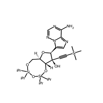 CC(C)[Si]1(C(C)C)OC[C@H]2O[C@@H](c3cnc4c(N)ncnn34)[C@](O)(C#C[Si](C)(C)C)[C@@H]2O[Si](C(C)C)(C(C)C)O1